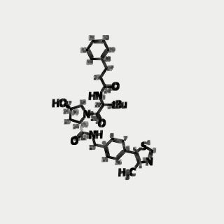 Cc1ncsc1-c1ccc(CNC(=O)[C@@H]2C[C@@H](O)CN2C(=O)C(NC(=O)CCc2ccccc2)C(C)(C)C)cc1